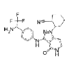 N#CC1CCCCC1n1nc(Nc2ccc(C(N)C(F)(F)F)cc2)c2c(=O)[nH]ccc21